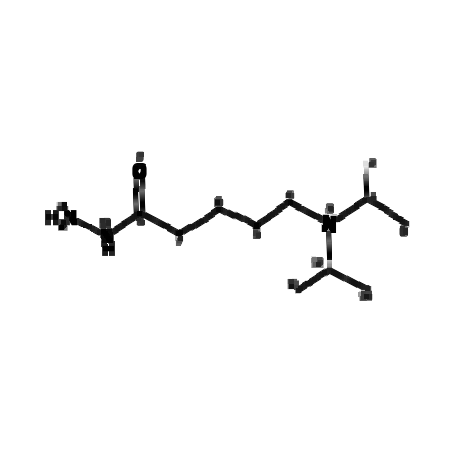 CC(C)N(CCCCC(=O)NN)C(C)C